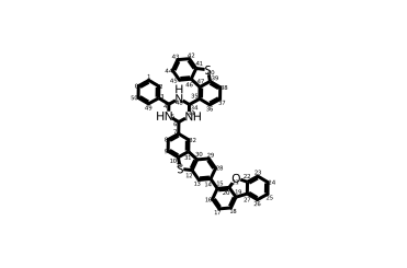 c1ccc(C2NC(c3ccc4sc5cc(-c6cccc7c6oc6ccccc67)ccc5c4c3)NC(c3cccc4sc5ccccc5c34)N2)cc1